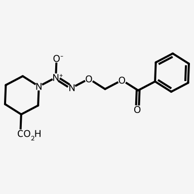 O=C(OCON=[N+]([O-])N1CCCC(C(=O)O)C1)c1ccccc1